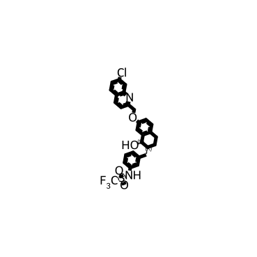 O=S(=O)(Nc1cccc(C[C@H]2CCc3ccc(OCc4ccc5ccc(Cl)cc5n4)cc3[C@H]2O)c1)C(F)(F)F